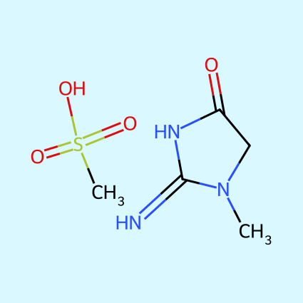 CN1CC(=O)NC1=N.CS(=O)(=O)O